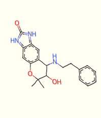 CC1(C)Oc2cc3[nH]c(=O)[nH]c3cc2C(NCCc2ccccc2)C1O